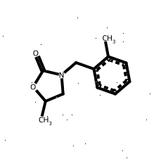 Cc1ccccc1CN1CC(C)OC1=O